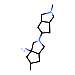 CC1CC2CN(C3CC4CN(C)CC4C3)CC2(N)C1